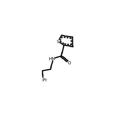 CC(C)CCNC(=O)c1cccs1